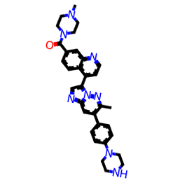 Cc1nn2c(-c3ccnc4cc(C(=O)N5CCN(C)CC5)ccc34)cnc2cc1-c1ccc(N2CCNCC2)cc1